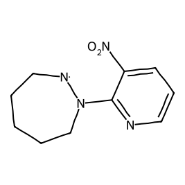 O=[N+]([O-])c1cccnc1N1CCCCC[N]1